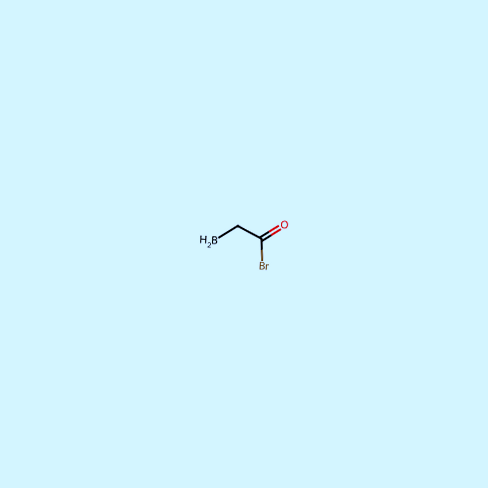 BCC(=O)Br